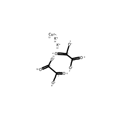 O=C([O-])C(=O)[O-].O=C([O-])C(=O)[O-].[Co+2].[K+].[K+]